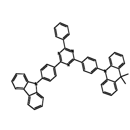 CC1(C)c2ccccc2N(c2ccc(-c3nc(-c4ccccc4)nc(-c4ccc(-n5c6ccccc6c6ccccc65)cc4)n3)cc2)c2ccccc21